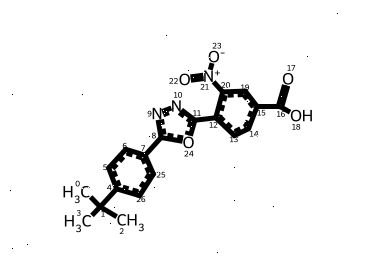 CC(C)(C)c1ccc(-c2nnc(-c3ccc(C(=O)O)cc3[N+](=O)[O-])o2)cc1